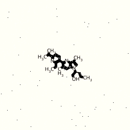 CCC[C@@H](CO)n1cc(C)c2nc(-c3ccc(C(C)C)nc3CC)c(C)cc21